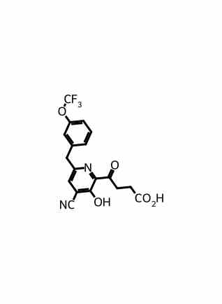 N#Cc1cc(Cc2cccc(OC(F)(F)F)c2)nc(C(=O)CCC(=O)O)c1O